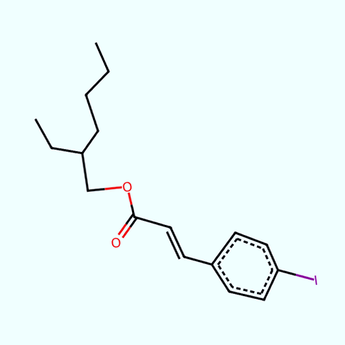 CCCCC(CC)COC(=O)C=Cc1ccc(I)cc1